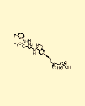 CCN(CCC#Cc1ccc2c(Nc3cc(OC(C)Nc4cccc(F)c4)[nH]n3)ncnc2c1)CCOP(=O)(O)O